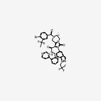 C[C@@H]1Cn2c(c(C(=O)NCc3ccccc3-c3ccncn3)n(-c3ccc4c(cnn4CC(F)(F)F)c3)c2=O)CN1C(=O)c1ccc(Br)c(C(F)(F)F)c1